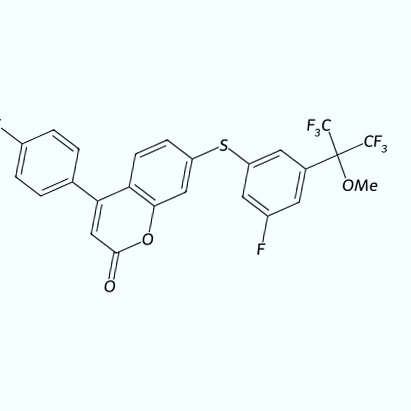 COC(c1cc(F)cc(Sc2ccc3c(-c4ccc(F)cc4)cc(=O)oc3c2)c1)(C(F)(F)F)C(F)(F)F